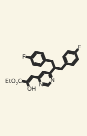 CCOC(=O)/C(O)=C/c1cc(C(Cc2ccc(F)cc2)Cc2ccc(F)cc2)ncn1